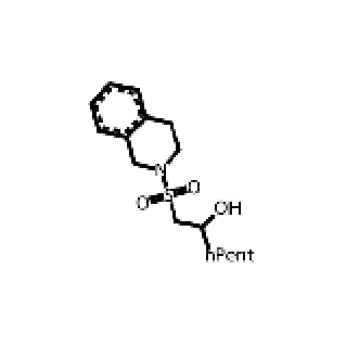 CCCCCC(O)CS(=O)(=O)N1CCc2ccccc2C1